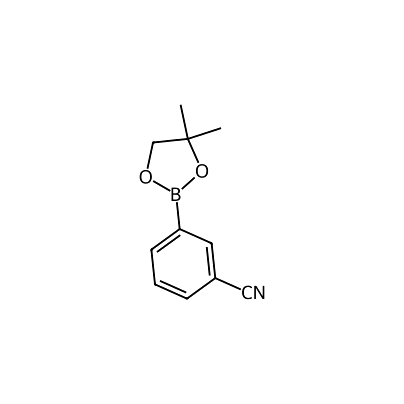 CC1(C)COB(c2cccc(C#N)c2)O1